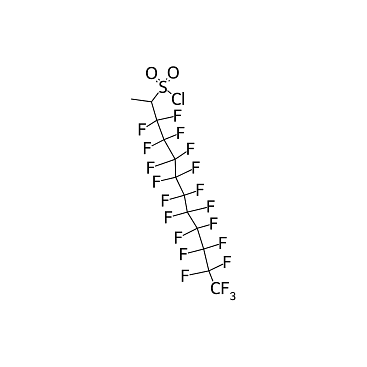 CC(C(F)(F)C(F)(F)C(F)(F)C(F)(F)C(F)(F)C(F)(F)C(F)(F)C(F)(F)C(F)(F)C(F)(F)F)S(=O)(=O)Cl